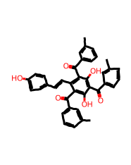 Cc1cccc(C(=O)c2c(O)c(C(=O)c3cccc(C)c3)c(C=Cc3ccc(O)cc3)c(C(=O)c3cccc(C)c3)c2O)c1